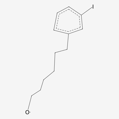 [O]CCCCCCc1cccc(I)c1